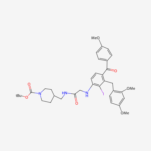 COc1ccc(C(=O)c2ccc(NCC(=O)NCC3CCN(C(=O)OC(C)(C)C)CC3)c(I)c2Cc2ccc(OC)cc2OC)cc1